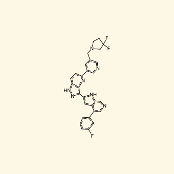 Fc1cccc(-c2cncc3[nH]c(-c4n[nH]c5ccc(-c6cncc(CN7CCC(F)(F)C7)c6)nc45)cc23)c1